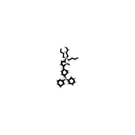 CCC[CH2][Sn]([CH2]CCC)([CH2]CCC)[c]1ccc(-c2ccc(N(c3ccccc3)c3ccccc3)cc2)n1C